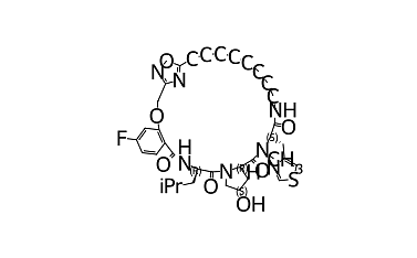 CC(C)C[C@H]1NC(=O)c2ccc(F)cc2OCc2noc(n2)CCCCCCCCNC(=O)[C@H](Cc2cscn2)N(C)C(=O)[C@H]2C[C@H](O)CN2C1=O